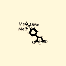 CO[Si](OC)(OC)c1ccc(C2CC(=O)OC2=O)cc1